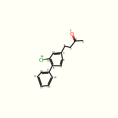 CC(=O)CCc1ccc(-c2ccccc2)c(Cl)c1